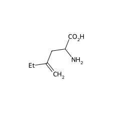 C=C(CC)CC(N)C(=O)O